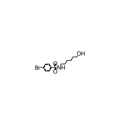 O=S(=O)(NCCCCCCO)c1ccc(Br)cc1